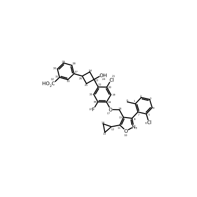 Cc1cccc(Cl)c1-c1noc(C2CC2)c1COc1cc(Cl)c(C2(O)CC(c3cccc(C(=O)O)c3)C2)cc1F